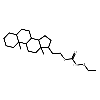 CCSNC(=O)OCCC1CCC2C3CCC4CCCCC4(C)C3CCC12C